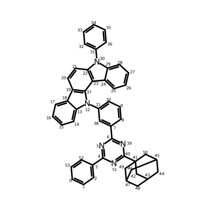 c1ccc(-c2nc(-c3cccc(-n4c5ccccc5c5ccc6c(c7ccccc7n6-c6ccccc6)c54)c3)nc(C34CC5CC(CC(C5)C3)C4)n2)cc1